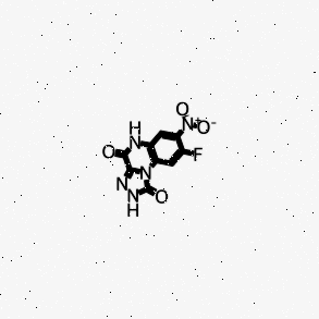 O=c1[nH]c2cc([N+](=O)[O-])c(F)cc2n2c(=O)[nH]nc12